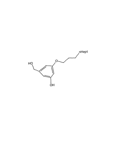 CCCCCCCCCCOc1cc(O)cc(CO)c1